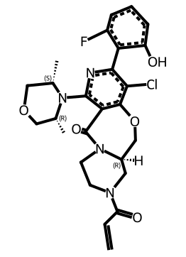 C=CC(=O)N1CCN2C(=O)c3c(N4[C@H](C)COC[C@@H]4C)nc(-c4c(O)cccc4F)c(Cl)c3OC[C@H]2C1